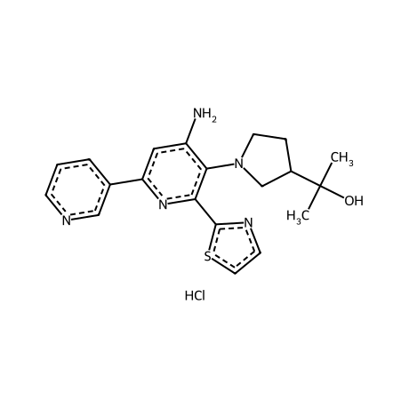 CC(C)(O)C1CCN(c2c(N)cc(-c3cccnc3)nc2-c2nccs2)C1.Cl